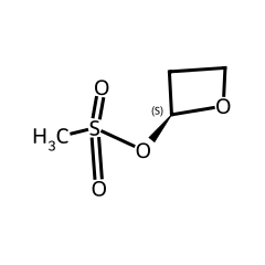 CS(=O)(=O)O[C@H]1CCO1